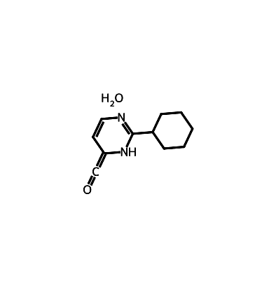 O.O=C=C1C=CN=C(C2CCCCC2)N1